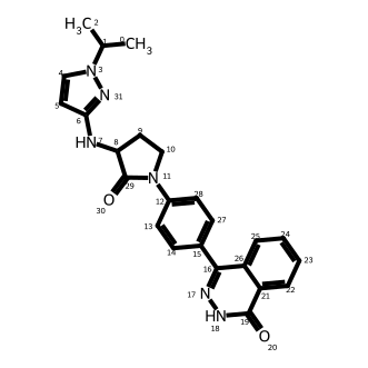 CC(C)n1ccc(NC2CCN(c3ccc(-c4n[nH]c(=O)c5ccccc45)cc3)C2=O)n1